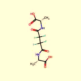 C[C@H](NC(=O)C(F)(F)C(F)(F)C(=O)N[C@@H](C)C(=O)O)C(=O)O